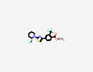 COC(=O)c1ccc(-c2csc(N3CCCC[C@H]3CF)n2)cc1C(F)(F)F